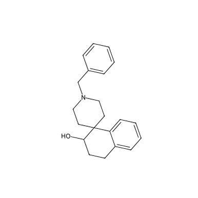 OC1CCc2ccccc2C12CCN(Cc1ccccc1)CC2